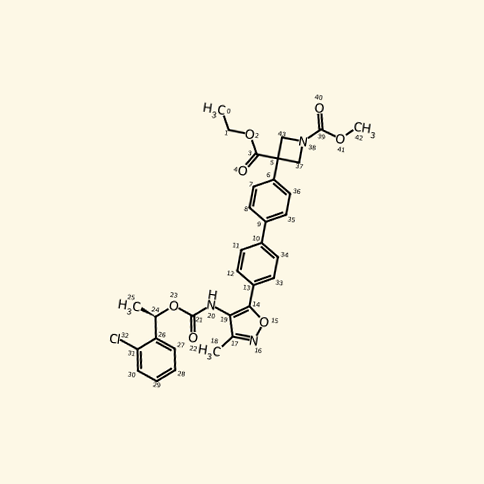 CCOC(=O)C1(c2ccc(-c3ccc(-c4onc(C)c4NC(=O)O[C@H](C)c4ccccc4Cl)cc3)cc2)CN(C(=O)OC)C1